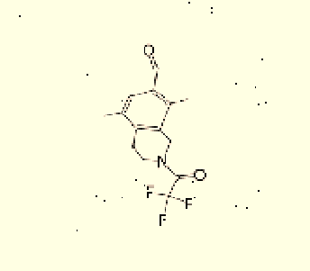 Cc1cc(C=O)c(C)c2c1CCN(C(=O)C(F)(F)F)C2